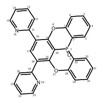 O=P12c3ccccc3Oc3c(-c4ccccn4)cc(-c4ccccn4)c(c31)Oc1ccccc12